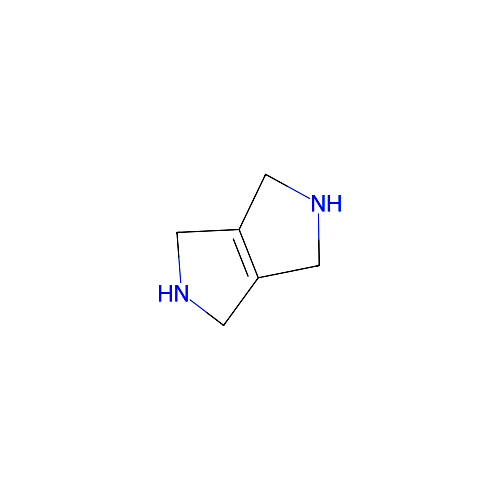 C1NCC2=C1CNC2